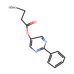 CCCCCCCCCCCCC(=O)Oc1cnc(-c2cc[c]cc2)nc1